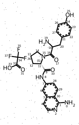 Nc1nccc2cc(NC(=O)[C@@H]3CCCN3C(=O)C(N)Cc3ccc(O)cc3)ccc12.O=C(O)C(F)(F)F